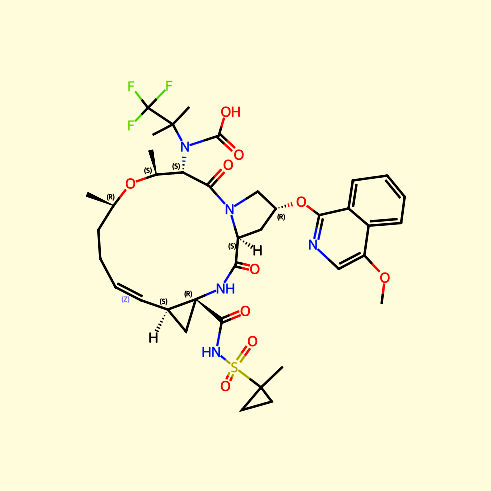 COc1cnc(O[C@@H]2C[C@H]3C(=O)N[C@]4(C(=O)NS(=O)(=O)C5(C)CC5)C[C@H]4/C=C\CC[C@@H](C)O[C@@H](C)[C@H](N(C(=O)O)C(C)(C)C(F)(F)F)C(=O)N3C2)c2ccccc12